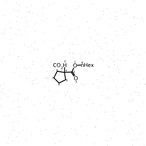 CCCCCCOC(=O)C1(C(=O)O)CCCC1